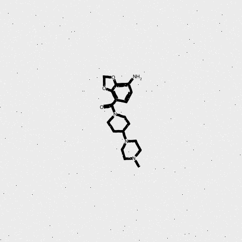 CN1CCN(C2CCN(C(=O)c3ccc(N)c4c3OCO4)CC2)CC1